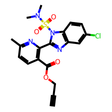 C#CCOC(=O)c1ccc(C)nc1-c1nc2cc(Cl)ccc2n1S(=O)(=O)N(C)C